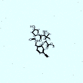 C#Cc1ccc(CNC(=O)[C@@H]2C[C@@H](O)CN2C(=O)[C@@H](N)C(C)(C)C)c(OCC(=O)OC)c1